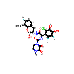 CCN1CCN(C(=O)NC(C(=O)N[C@H]2Cc3ccc(F)c(C(=O)O)c3OB2O)c2c(F)c(F)c(O)c(O)c2Cl)C(=O)C1=O